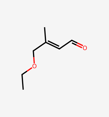 CCOCC(C)=CC=O